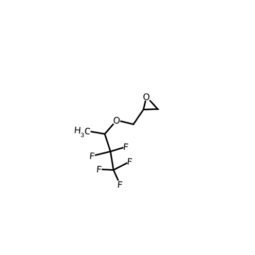 CC(OCC1CO1)C(F)(F)C(F)(F)F